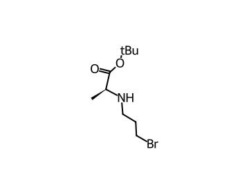 C[C@H](NCCCBr)C(=O)OC(C)(C)C